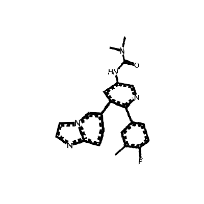 Cc1cc(-c2ncc(NC(=O)N(C)C)cc2-c2ccc3nccn3c2)ccc1F